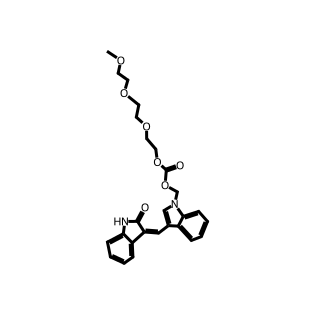 COCCOCCOCCOC(=O)OCn1cc(C=C2C(=O)Nc3ccccc32)c2ccccc21